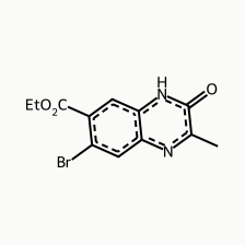 CCOC(=O)c1cc2[nH]c(=O)c(C)nc2cc1Br